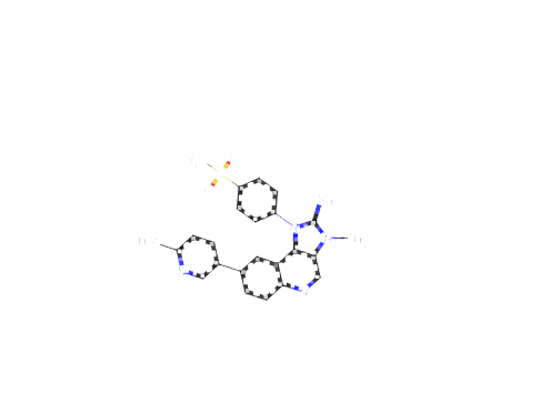 Cc1ccc(-c2ccc3ncc4c(c3c2)n(-c2ccc(S(C)(=O)=O)cc2)c(=N)n4C)cn1